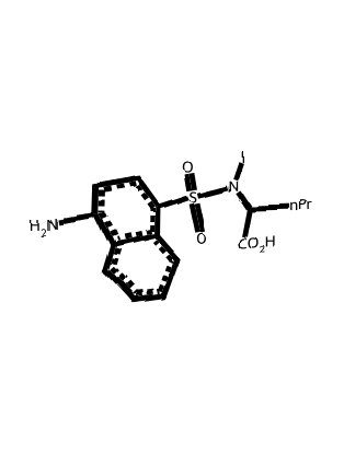 CCCC(C(=O)O)N(I)S(=O)(=O)c1ccc(N)c2ccccc12